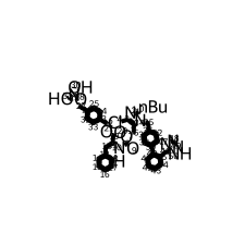 CCCCc1nc(Cl)c(COC(=O)NC(Cc2ccccc2)C(=O)OCc2ccc(CON(O)O)cc2)n1Cc1ccc(-c2ccccc2-c2nnn[nH]2)cc1